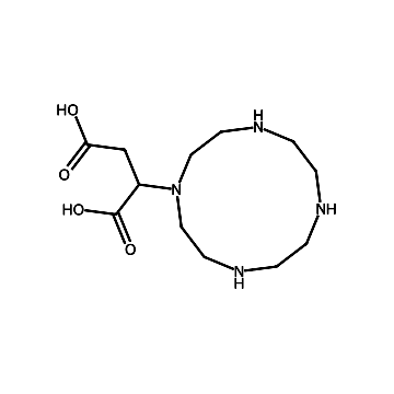 O=C(O)CC(C(=O)O)N1CCNCCNCCNCC1